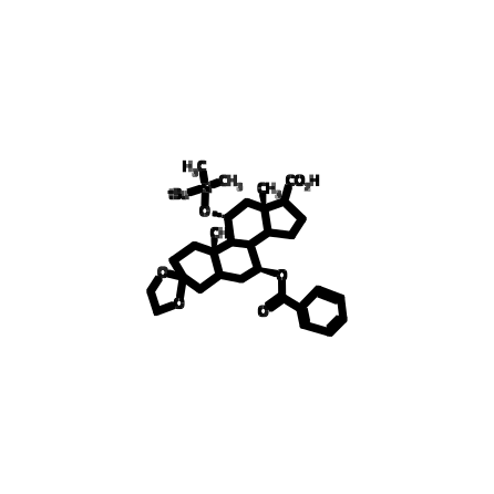 CC(C)(C)[Si](C)(C)O[C@@H]1C[C@]2(C)C(C(=O)O)CCC2C2C1[C@@]1(C)CCC3(CC1C[C@@H]2OC(=O)c1ccccc1)OCCO3